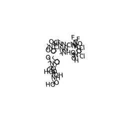 CC1COc2ccccc2N1C(=O)C(Cl)Cl.CCNc1nc(Cl)nc(NC(C)(C)C)n1.CCc1cccc(C)c1N(C(=O)CCl)C(C)COC.Cc1nn(-c2cc(NS(C)(=O)=O)c(Cl)cc2Cl)c(=O)n1C(F)F.O=C(O)CNCP(=O)(O)O